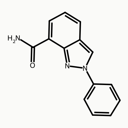 NC(=O)c1cccc2cn(-c3ccccc3)nc12